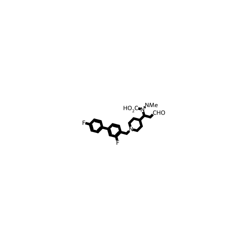 CNN(C(=O)O)C(CC=O)C1CCN(Cc2ccc(-c3ccc(F)cc3)cc2F)CC1